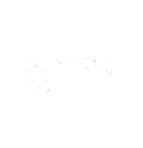 C/C(=C\c1ccc(S(N)(=O)=O)cc1)CN1CCC(=C2c3ccccc3C=Cc3ccccc32)CC1